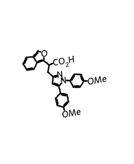 COc1ccc(-c2cc(CC(C(=O)O)c3occ4ccccc34)nn2-c2ccc(OC)cc2)cc1